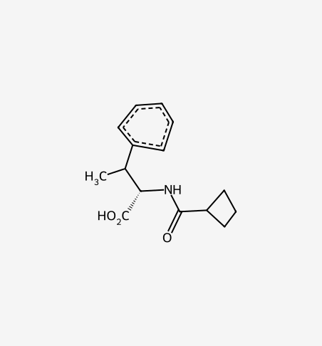 CC(c1ccccc1)[C@H](NC(=O)C1CCC1)C(=O)O